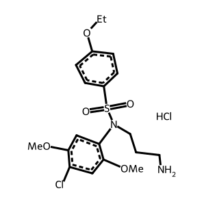 CCOc1ccc(S(=O)(=O)N(CCCN)c2cc(OC)c(Cl)cc2OC)cc1.Cl